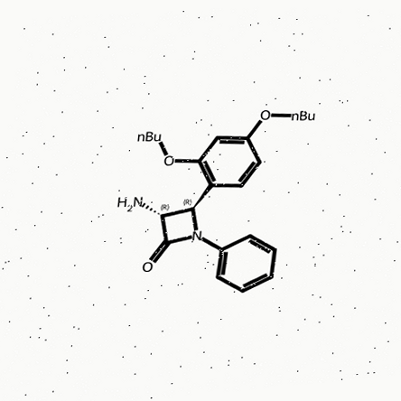 CCCCOc1ccc([C@@H]2[C@@H](N)C(=O)N2c2ccccc2)c(OCCCC)c1